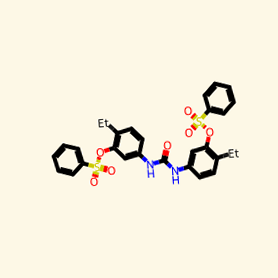 CCc1ccc(NC(=O)Nc2ccc(CC)c(OS(=O)(=O)c3ccccc3)c2)cc1OS(=O)(=O)c1ccccc1